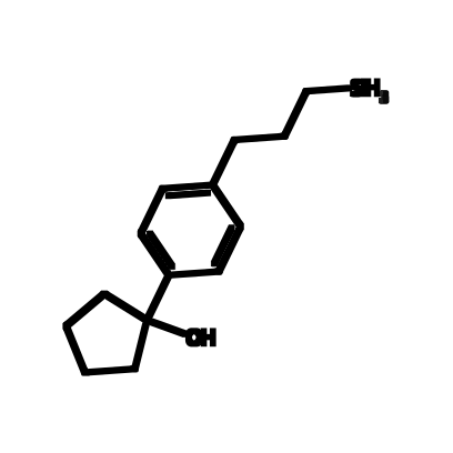 OC1(c2ccc(CCC[SiH3])cc2)CCCC1